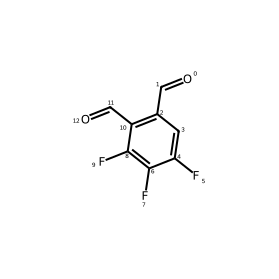 O=Cc1cc(F)c(F)c(F)c1C=O